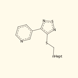 CCCCCCCCSc1nsnc1-c1cccnc1